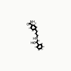 NC(=O)c1ccc(CCCNC[C@H](O)c2ccccc2)cc1